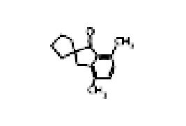 Cc1ccc(C)c2c1CC1(CCCC1)C2=O